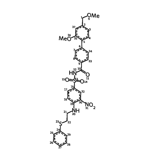 COCc1ccc(-c2ccc(C(=O)NS(=O)(=O)c3ccc(NCCSc4ccccc4)c([N+](=O)[O-])c3)cc2)c(OC)c1